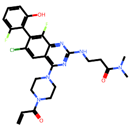 C=CC(=O)N1CCN(c2nc(NCCC(=O)N(C)C)nc3c(F)c(-c4c(O)cccc4F)c(Cl)cc23)CC1